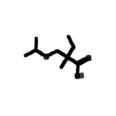 CCC(C)(COC(C)C)C(=O)O